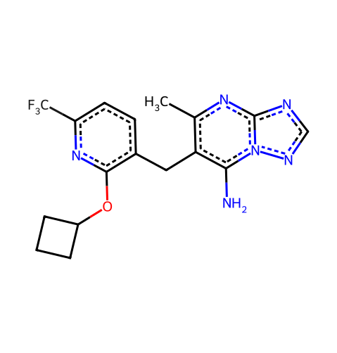 Cc1nc2ncnn2c(N)c1Cc1ccc(C(F)(F)F)nc1OC1CCC1